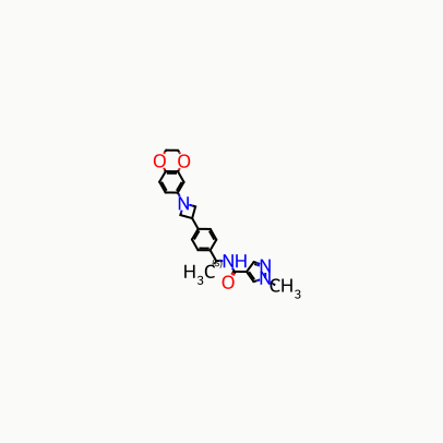 C[C@H](NC(=O)c1cnn(C)c1)c1ccc(C2CN(c3ccc4c(c3)OCCO4)C2)cc1